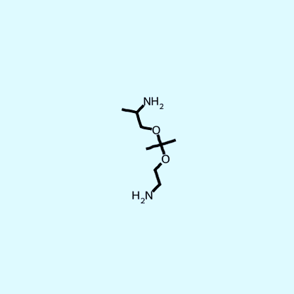 CC(N)COC(C)(C)OCCN